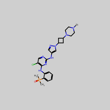 CCN1CCN(C2CC(n3cc(Nc4ncc(Cl)c(Nc5ccccc5P(C)(C)=O)n4)cn3)C2)CC1